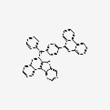 c1ccc(N(c2ccc(-c3cc4ccccc4c4ccccc34)cc2)c2cc3ccccc3c3c2oc2cnccc23)cc1